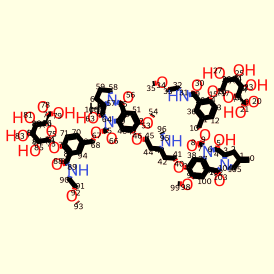 C=C1CC2C(O)N(C(=O)OCc3ccc(O[C@@H]4O[C@H](C(=O)O)[C@@H](O)[C@H](O)[C@H]4O)c(C(=O)NCCOC)c3)c3cc(OCCC(CCOc4cc5c(cc4OC)C(=O)N4CCC[C@H]4C(O)N5C(=O)OCc4ccc(O[C@@H]5O[C@H](C(=O)O)[C@@H](O)[C@H](O)[C@H]5O)c(C(=O)NCCOC)c4)NC)c(OC)cc3C(=O)N2C1